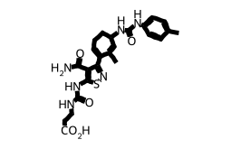 CC1=CC(NC(=O)Nc2ccc(C)cc2)CCC=C1c1nsc(NC(=O)NCCC(=O)O)c1C(N)=O